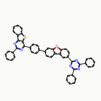 c1ccc(-c2nc(-c3ccccc3)nc(-c3ccc4oc5cc(-c6ccc(-c7nc(-c8ccccc8)nc8c7sc7ccccc78)cc6)ccc5c4c3)n2)cc1